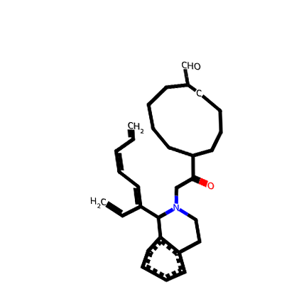 C=C/C=C\C=C(/C=C)C1c2ccccc2CCN1CC(=O)C1CCCCC(C=O)CCCC1